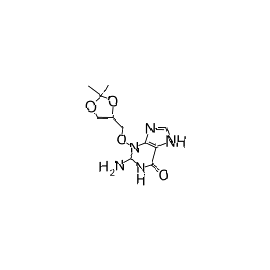 CC1(C)OCC(CON2c3nc[nH]c3C(=O)NC2N)O1